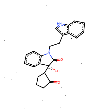 O=C1CCCC1[C@]1(O)C(=O)N(CCc2c[nH]c3ccccc23)c2ccccc21